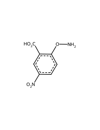 NOc1ccc([N+](=O)[O-])cc1C(=O)O